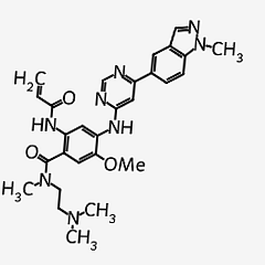 C=CC(=O)Nc1cc(Nc2cc(-c3ccc4c(cnn4C)c3)ncn2)c(OC)cc1C(=O)N(C)CCN(C)C